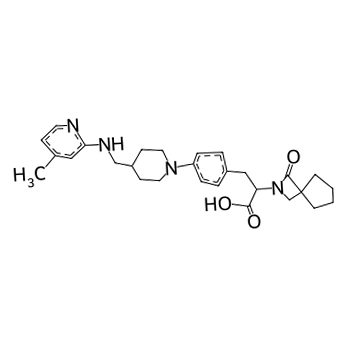 Cc1ccnc(NCC2CCN(c3ccc(CC(C(=O)O)N4CC5(CCCC5)C4=O)cc3)CC2)c1